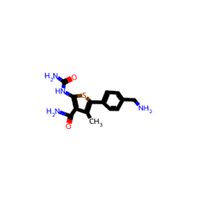 Cc1c(-c2ccc(CN)cc2)sc(NC(N)=O)c1C(N)=O